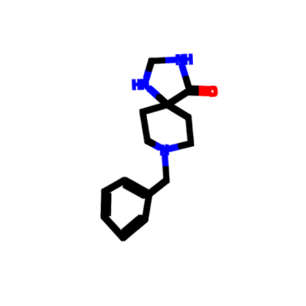 O=C1NCNC12CCN(Cc1ccccc1)CC2